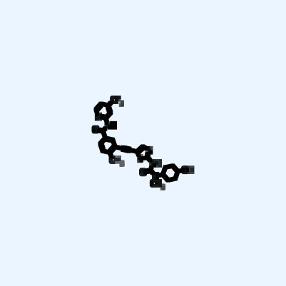 Cc1ccc(C(=O)Nc2cc(C(F)(F)F)ccn2)cc1C#Cc1cnc(NC(=O)N(C)C2CCC(O)CC2)s1